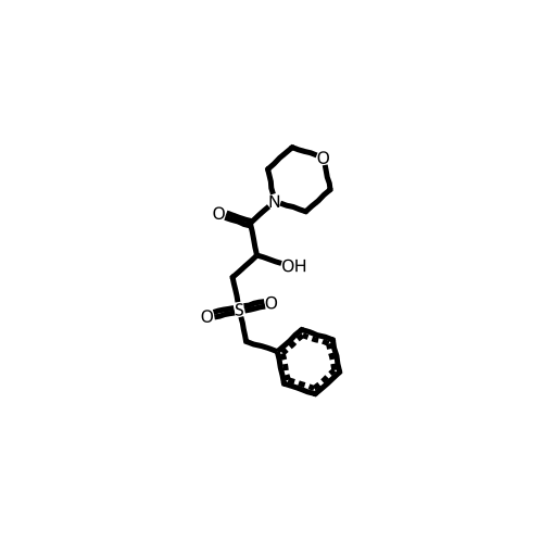 O=C(C(O)CS(=O)(=O)Cc1ccccc1)N1CCOCC1